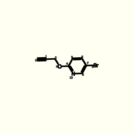 C#CCOc1ccc(Br)cn1